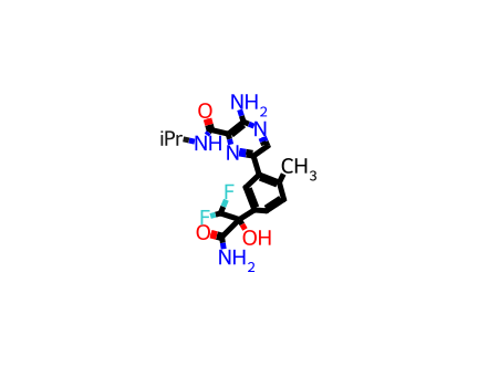 Cc1ccc(C(O)(C(N)=O)C(F)F)cc1-c1cnc(N)c(C(=O)NC(C)C)n1